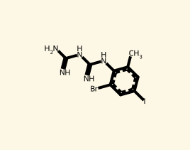 Cc1cc(I)cc(Br)c1NC(=N)NC(=N)N